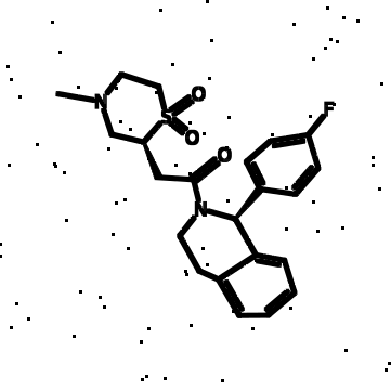 CN1CCS(=O)(=O)[C@@H](CC(=O)N2CCc3ccccc3[C@@H]2c2ccc(F)cc2)C1